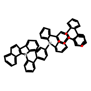 c1ccc(-c2ccc(-c3ccccc3N(c3ccc(-c4ccccc4-n4c5ccccc5c5ccc6ccccc6c54)cc3)c3cccc(-c4cc5ccccc5c5ccccc45)c3)cc2)cc1